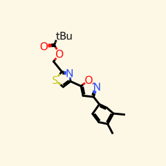 Cc1ccc(-c2cc(-c3csc(COC(=O)C(C)(C)C)n3)on2)cc1C